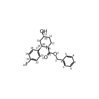 O=C(OCc1ccccc1)N1CC[C@H](O)C[C@@H]1c1ccc(F)cc1